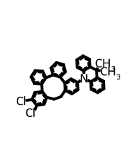 CC1(C)c2ccccc2N(c2ccc3c(c2)-c2ccccc2-c2ccccc2-c2cc(Cl)c(Cl)cc2CC3)c2ccccc21